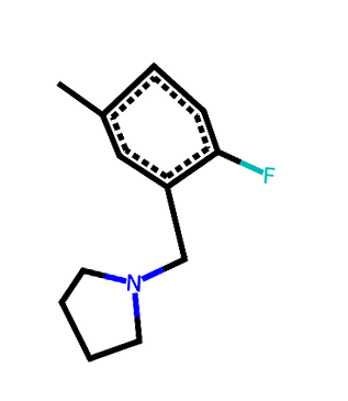 Cc1ccc(F)c(CN2CCCC2)c1